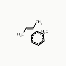 CC=CC.O.c1ccccc1